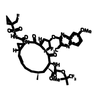 COC[C@@H]1C[C@H](C)CC/C=C\[C@@H]2C[C@@]2(C(=O)NS(=O)(=O)C2(CF)CC2)NC(=O)[C@@H]2C[C@@H](Oc3nc4cc(OC)ccc4nc3C(F)(F)F)CN2C(=O)[C@H]1NC(=O)OC(C)(C)C(F)(F)F